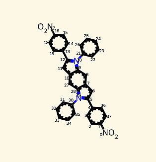 O=[N+]([O-])c1ccc(-c2cc3cc4c(cc(-c5ccc([N+](=O)[O-])cc5)n4-c4ccccc4)cc3n2-c2ccccc2)cc1